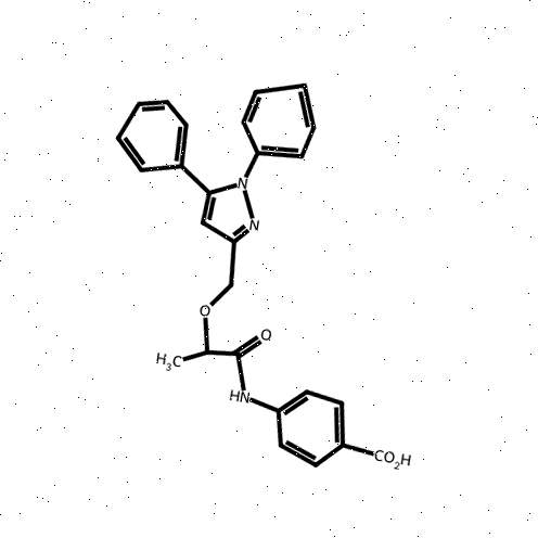 CC(OCc1cc(-c2ccccc2)n(-c2ccccc2)n1)C(=O)Nc1ccc(C(=O)O)cc1